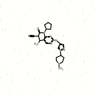 CC1c2cnc(Nc3cnn(C4CCN(C)CC4)c3)nc2N(C2CCCC2)C(=O)C1C#N